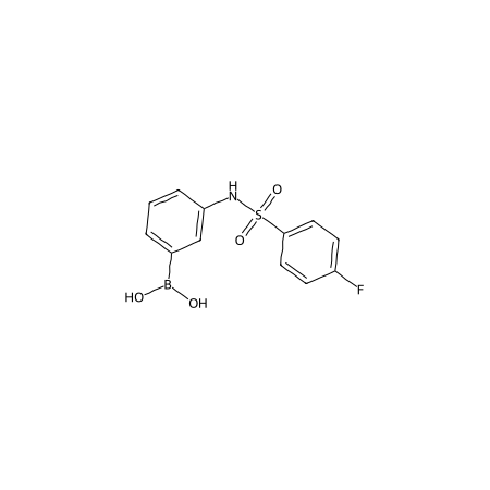 O=S(=O)(Nc1cccc(B(O)O)c1)c1ccc(F)cc1